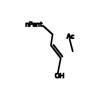 CC(C)=O.CCCCCCC=CO